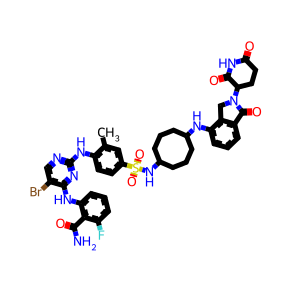 Cc1cc(S(=O)(=O)NC2CCCC(Nc3cccc4c3CN(C3CCC(=O)NC3=O)C4=O)CCC2)ccc1Nc1ncc(Br)c(Nc2cccc(F)c2C(N)=O)n1